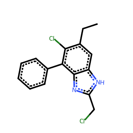 CCc1cc2[nH]c(CCl)nc2c(-c2ccccc2)c1Cl